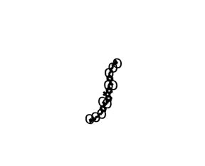 CC1(C)c2cc(OC(=O)c3ccc(OCCOCC4CO4)cc3)ccc2-c2ccc(OC(=O)c3ccc(OCCOCC4CO4)cc3)cc21